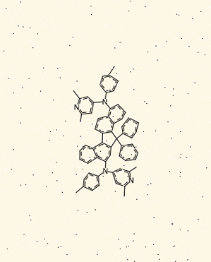 Cc1ccc(N(c2cc(C)nc(C)c2)c2cc3c(c4ccccc24)-c2ccc4c(N(c5ccc(C)cc5)c5cc(C)nc(C)c5)cccc4c2C3(c2ccccc2)c2ccccc2)cc1